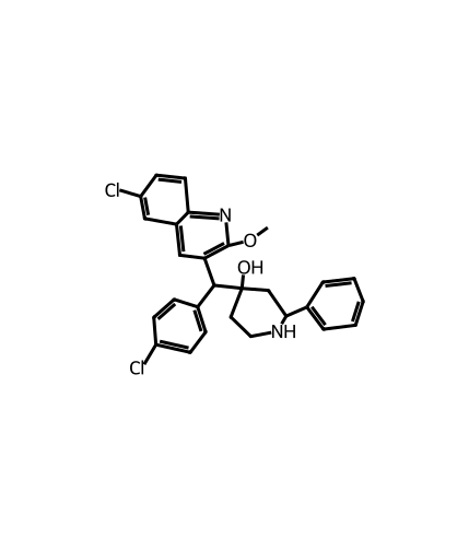 COc1nc2ccc(Cl)cc2cc1C(c1ccc(Cl)cc1)C1(O)CCNC(c2ccccc2)C1